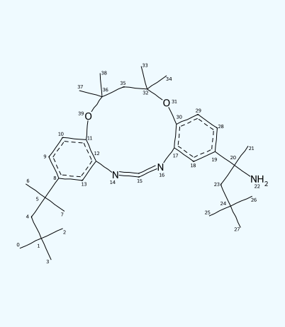 CC(C)(C)CC(C)(C)c1ccc2c(c1)N=C=Nc1cc(C(C)(N)CC(C)(C)C)ccc1OC(C)(C)CC(C)(C)O2